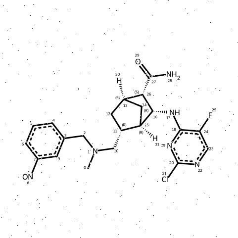 CN(Cc1cccc(N=O)c1)C[C@@H]1C[C@@H]2C[C@H]1[C@@H](Nc1nc(Cl)ncc1F)[C@H]2C(N)=O